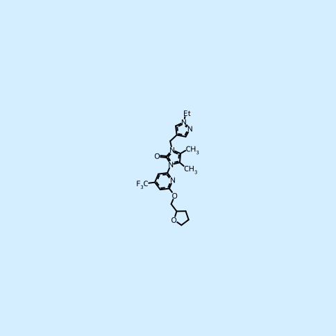 CCn1cc(Cn2c(C)c(C)n(-c3cc(C(F)(F)F)cc(OCC4CCCO4)n3)c2=O)cn1